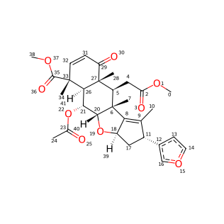 COC(=O)C[C@H]1[C@]2(C)C3=C(C)[C@H](c4ccoc4)C[C@H]3O[C@@H]2[C@H](OC(C)=O)[C@@H]2[C@]1(C)C(=O)C=C[C@@]2(C)C(=O)OC